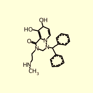 CNCCN1CN(C(c2ccccc2)c2ccccc2)N2C=CC(O)C(O)=C2C1=O